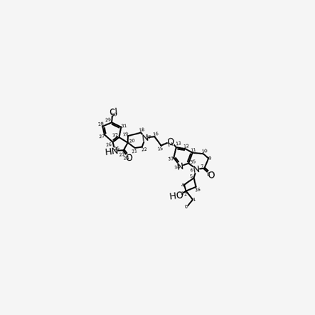 CCC1(O)CC(N2C(=O)CCc3cc(OCCN4CCC5(CC4)C(=O)Nc4ccc(Cl)cc45)cnc32)C1